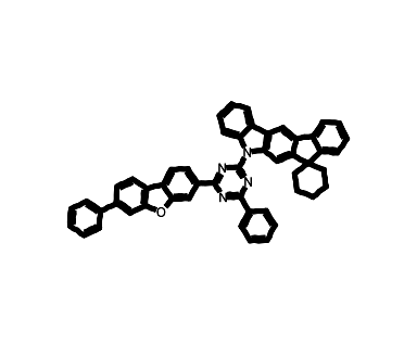 c1ccc(-c2ccc3c(c2)oc2cc(-c4nc(-c5ccccc5)nc(-n5c6ccccc6c6cc7c(cc65)C5(CCCCC5)c5ccccc5-7)n4)ccc23)cc1